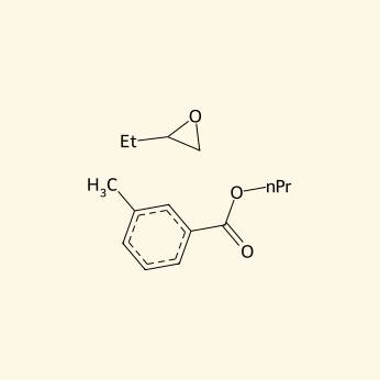 CCC1CO1.CCCOC(=O)c1cccc(C)c1